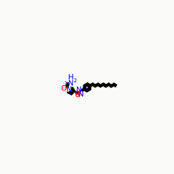 CCCCCCCCCCc1ccc(-c2noc([C@@H]3CCN(C(=O)[C@H](C)N)C3)n2)cc1